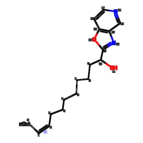 CCCCCCCC/C=C\CCCCCCCC(O)c1nc2cnccc2o1